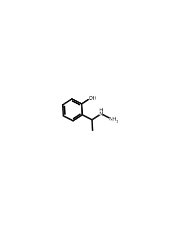 CC(NN)c1ccccc1O